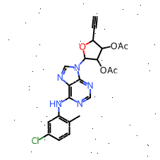 C#CC1OC(n2cnc3c(Nc4cc(Cl)ccc4C)ncnc32)C(OC(C)=O)C1OC(C)=O